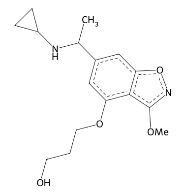 COc1noc2cc(C(C)NC3CC3)cc(OCCCO)c12